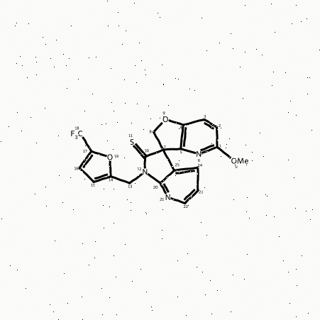 COc1ccc2c(n1)C1(CO2)C(=S)N(Cc2ccc(C(F)(F)F)o2)c2ncccc21